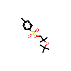 Cc1ccc(S(=O)(=O)OCC(C)(C)OC(C)(C)C)cc1